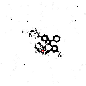 COc1ccc2c(c1)C1CC1(C(=O)N1[C@@H]3COC[C@H]1CN(C)C3)Cn1c-2c(C2CCCCC2)c2ccc(C(=O)NS(=O)(=O)CC(C)C)cc21